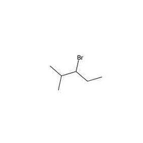 CCC(Br)C(C)C